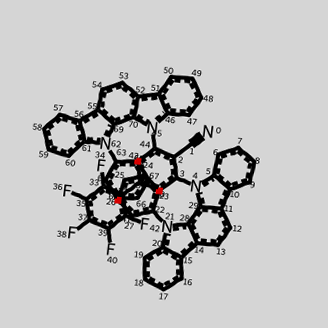 N#Cc1c(-n2c3ccccc3c3ccc4c5ccccc5n(-c5ccccc5)c4c32)cc(-c2c(F)c(F)c(F)c(F)c2F)cc1-n1c2ccccc2c2ccc3c4ccccc4n(-c4ccccc4)c3c21